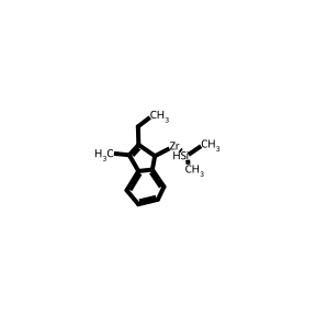 CCC1=C(C)c2ccccc2[CH]1[Zr][SiH](C)C